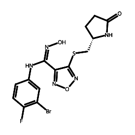 O=C1CC[C@@H](CSc2nonc2/C(=N\O)Nc2ccc(F)c(Br)c2)N1